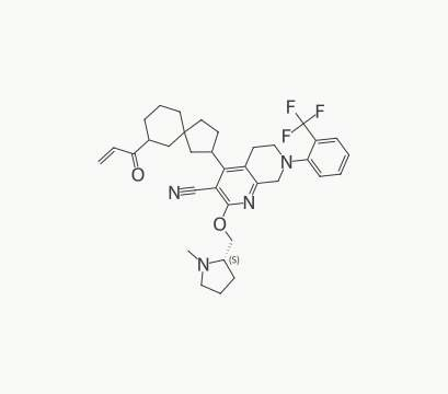 C=CC(=O)C1CCCC2(CCC(c3c(C#N)c(OC[C@@H]4CCCN4C)nc4c3CCN(c3ccccc3C(F)(F)F)C4)C2)C1